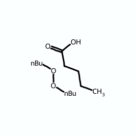 CCCCC(=O)O.CCCCOOCCCC